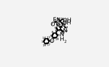 CCC(=O)N(n1cc(-c2ccc(Oc3ccccc3)cc2)c2c(N)ncnc21)C(C)(CO)CO